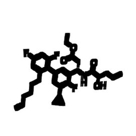 C=CCCCCc1cc(F)cc(F)c1-c1cc(C2CC2)c(F)c([C@H](CC(=O)OCC)NC(=O)[C@H](O)CC=C)c1